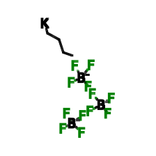 CCC[CH2][K].F[B-](F)(F)F.F[B-](F)(F)F.F[B-](F)(F)F